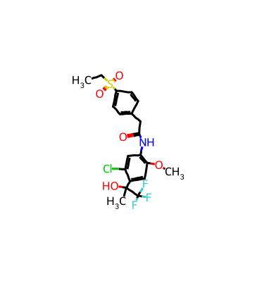 CCS(=O)(=O)c1ccc(CC(=O)Nc2cc(Cl)c(C(C)(O)C(F)(F)F)cc2OC)cc1